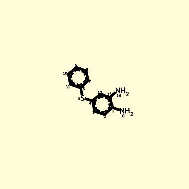 Nc1ccc(Sc2ccccc2)cc1N